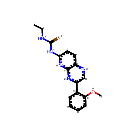 CCNC(=S)Nc1ccc2ncc(-c3ccccc3OC)nc2n1